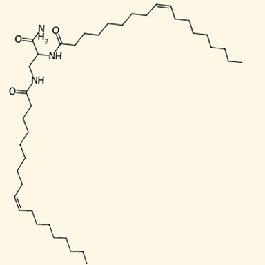 CCCCCCCC/C=C\CCCCCCCC(=O)NCC(NC(=O)CCCCCCC/C=C\CCCCCCCC)C(N)=O